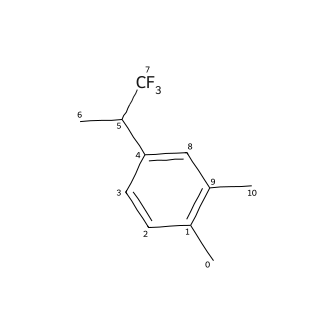 Cc1ccc(C(C)C(F)(F)F)cc1C